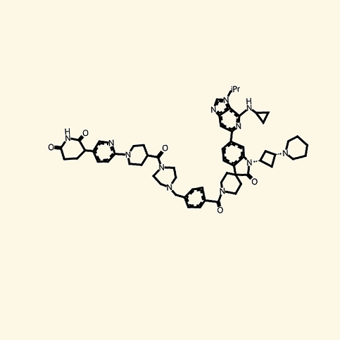 CC(C)n1cnc2cc(-c3ccc4c(c3)N([C@H]3C[C@@H](N5CCCCC5)C3)C(=O)C43CCN(C(=O)c4ccc(CN5CCN(C(=O)C6CCN(c7ccc(C8CCC(=O)NC8=O)cn7)CC6)CC5)cc4)CC3)nc(NC3CC3)c21